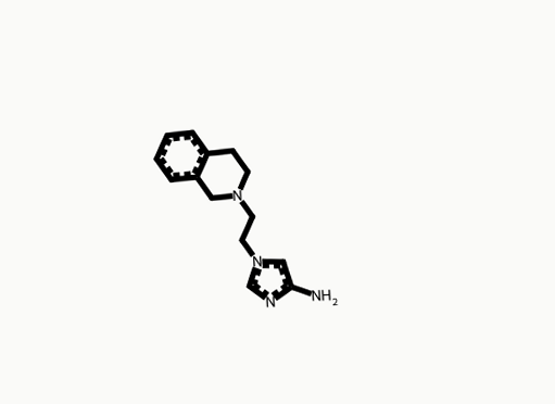 Nc1cn(CCN2CCc3ccccc3C2)cn1